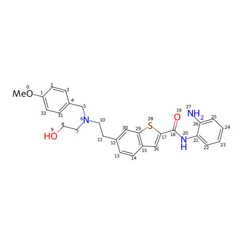 COc1ccc(CN(CCO)CCc2ccc3cc(C(=O)Nc4ccccc4N)sc3c2)cc1